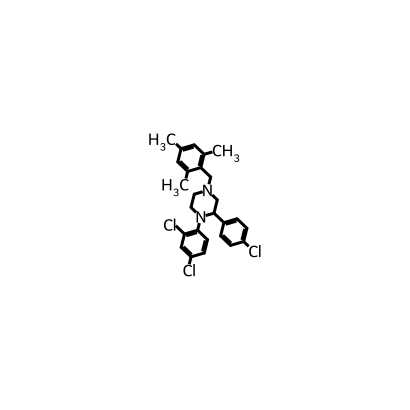 Cc1cc(C)c(CN2CCN(c3ccc(Cl)cc3Cl)C(c3ccc(Cl)cc3)C2)c(C)c1